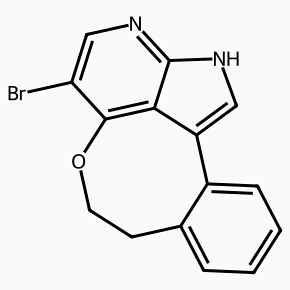 Brc1cnc2[nH]cc3c2c1OCCc1ccccc1-3